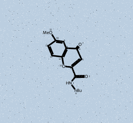 CCCCNC(=O)c1cc(=O)c2cc(OC)ccc2o1